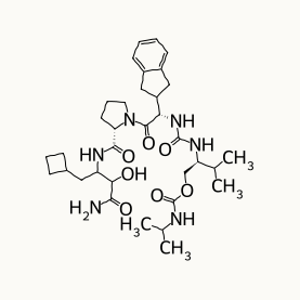 CC(C)NC(=O)OC[C@@H](NC(=O)N[C@H](C(=O)N1CCC[C@H]1C(=O)NC(CC1CCC1)C(O)C(N)=O)C1Cc2ccccc2C1)C(C)C